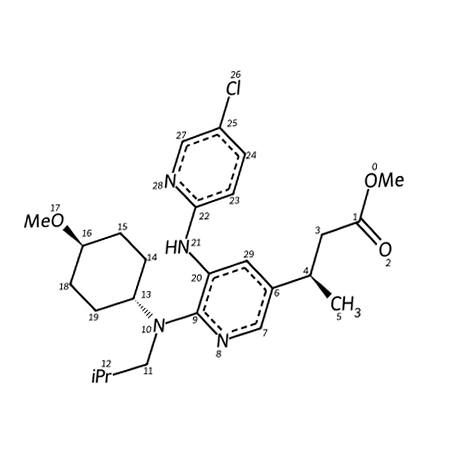 COC(=O)C[C@@H](C)c1cnc(N(CC(C)C)[C@H]2CC[C@H](OC)CC2)c(Nc2ccc(Cl)cn2)c1